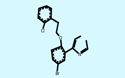 C/C=N\C(=C/C)c1cc(Br)ccc1OCCc1ccccc1Cl